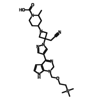 CC1CC(N2CC(CC#N)(n3cc(C4=NCN(COCC[Si](C)(C)C)c5[nH]ccc54)cn3)C2)CCN1C(=O)O